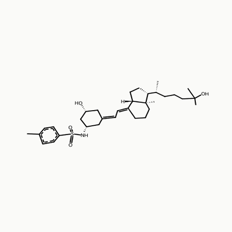 Cc1ccc(S(=O)(=O)N[C@H]2C/C(=C/C=C3\CCC[C@]4(C)[C@@H]([C@H](C)CCCC(C)(C)O)CC[C@@H]34)C[C@@H](O)C2)cc1